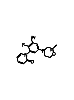 CC(C)c1cc(N2CCO[C@H](C)C2)cc(-n2ccccc2=O)c1F